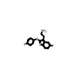 NCCc1c(Sc2ccc(F)cc2)sc2ccc(F)cc12